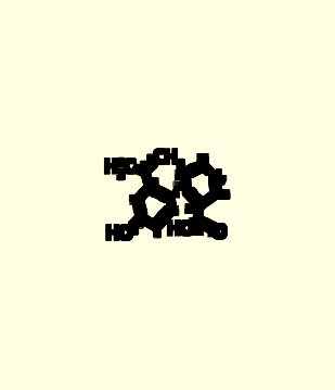 CC(C)c1cccc(O)c1.O=C(O)c1cccnc1